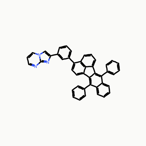 c1ccc(-c2c3c(c(-c4ccccc4)c4ccccc24)-c2ccc(-c4cccc(-c5cn6cccnc6n5)c4)c4cccc-3c24)cc1